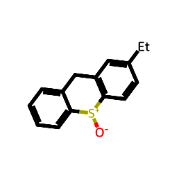 CCc1ccc2c(c1)Cc1ccccc1[S+]2[O-]